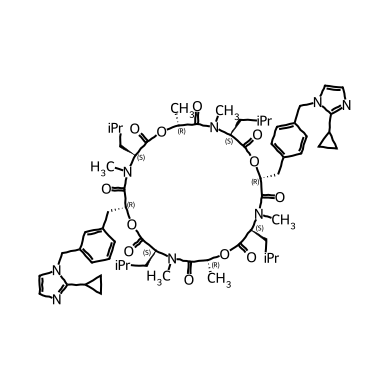 CC(C)C[C@H]1C(=O)O[C@H](Cc2cccc(Cn3ccnc3C3CC3)c2)C(=O)N(C)[C@@H](CC(C)C)C(=O)O[C@H](C)C(=O)N(C)[C@@H](CC(C)C)C(=O)O[C@H](Cc2ccc(Cn3ccnc3C3CC3)cc2)C(=O)N(C)[C@@H](CC(C)C)C(=O)O[C@H](C)C(=O)N1C